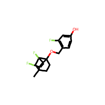 CC12CCC(OCc3ccc(O)cc3F)(CC1)C(F)=C2F